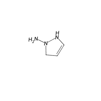 NN1CC=CN1